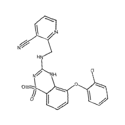 N#Cc1cccnc1CNC1=NS(=O)(=O)c2cccc(Oc3ccccc3Cl)c2N1